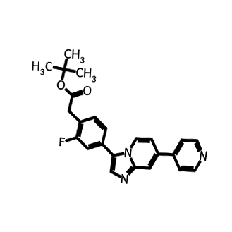 CC(C)(C)OC(=O)Cc1ccc(-c2cnc3cc(-c4ccncc4)ccn23)cc1F